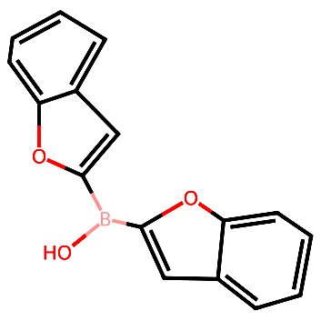 OB(c1cc2ccccc2o1)c1cc2ccccc2o1